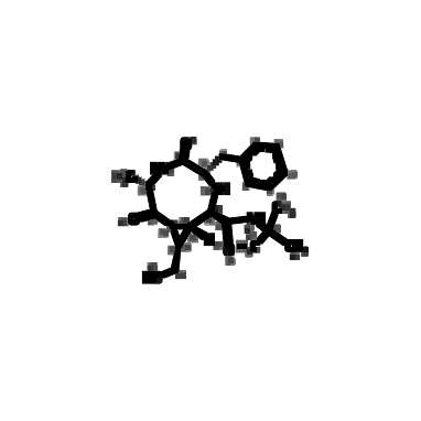 C[C@@H]1NC(=O)[C@H](Cc2ccccc2)N[C@@H](C(=O)NC(C)(C)C)[C@@H]2[C@@H](CO)N2C1=O